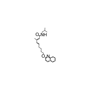 CC(C=CCCCCOc1ccc2ccccc2n1)=CC(=O)NCC(C)C